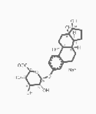 C[C@]12CC[C@@H]3c4ccc(O[C@@H]5O[C@H](C(=O)[O-])[C@@H](O)[C@H](O)[C@H]5O)cc4CC[C@H]3[C@@H]1CC[C@@H]2O.[Na+]